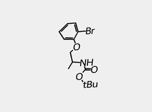 CC(COc1ccccc1Br)NC(=O)OC(C)(C)C